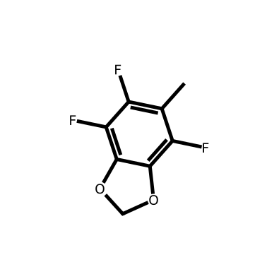 Cc1c(F)c(F)c2c(c1F)OCO2